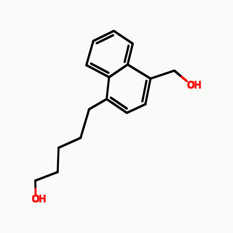 OCCCCCc1ccc(CO)c2ccccc12